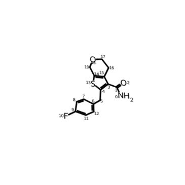 NC(=O)c1c(Cc2ccc(F)cc2)sc2c1CCOC2